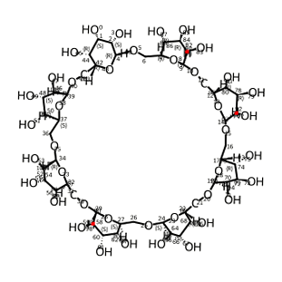 O[C@@H]1[C@H](O)[C@@H]2OC[C@H]3O[C@H](OC[C@H]4O[C@H](OC[C@H]5O[C@H](OC[C@H]6O[C@H](OC[C@@H]7O[C@@H](OC[C@@H]8O[C@@H](OC[C@@H]9O[C@@H](OC[C@@H](O2)[C@@H]1O)[C@H](O)[C@@H](O)[C@H]9O)[C@H](O)[C@@H](O)[C@H]8O)[C@H](O)[C@@H](O)[C@H]7O)[C@H](O)[C@@H](O)[C@H]6O)[C@H](O)[C@H](O)[C@H]5O)[C@H](O)[C@H](O)[C@H]4O)[C@H](O)[C@H](O)[C@H]3O